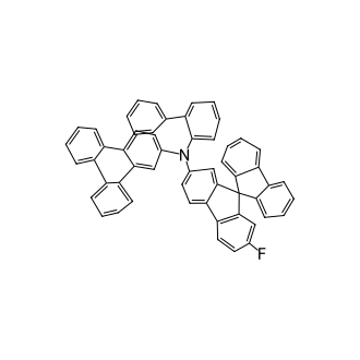 Fc1ccc2c(c1)C1(c3ccccc3-c3ccccc31)c1cc(N(c3ccc4c5ccccc5c5ccccc5c4c3)c3ccccc3-c3ccccc3)ccc1-2